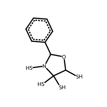 SC1O[C](c2ccccc2)N(S)C1(S)S